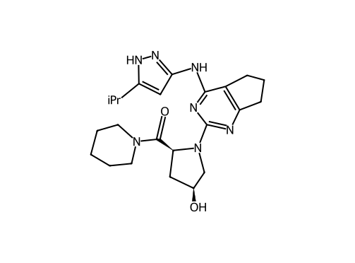 CC(C)c1cc(Nc2nc(N3C[C@@H](O)C[C@H]3C(=O)N3CCCCC3)nc3c2CCC3)n[nH]1